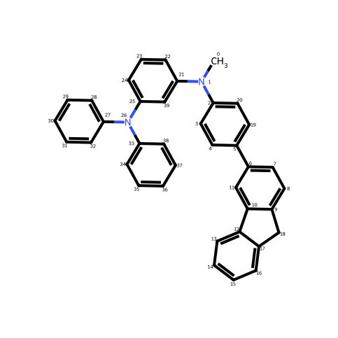 CN(c1ccc(-c2ccc3c(c2)-c2ccccc2C3)cc1)c1cccc(N(c2ccccc2)c2ccccc2)c1